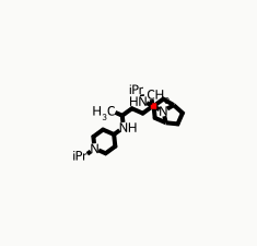 CC(C)NC1CC2CCC(C1)N2C(C)CCC(C)NC1CCN(C(C)C)CC1